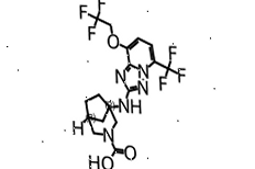 O=C(O)N1C[C@@H]2CC[C@@](Nc3nc4c(OCC(F)(F)F)ccc(C(F)(F)F)n4n3)(C2)C1